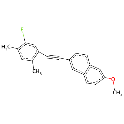 COc1ccc2cc(C#Cc3cc(F)c(C)cc3C)ccc2c1